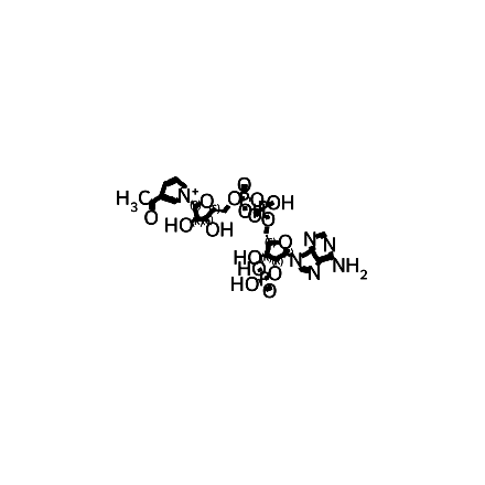 CC(=O)c1ccc[n+]([C@@H]2O[C@@H](COP(=O)(O)OP(=O)(O)OC[C@@H]3O[C@@H](n4cnc5c(N)ncnc54)[C@H](OP(=O)(O)O)[C@@H]3O)[C@@H](O)[C@H]2O)c1